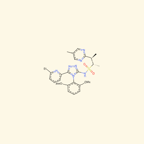 CCc1cccc(-c2nnc(NS(=O)(=O)[C@@H](C)[C@H](C)c3ncc(C)cn3)n2-c2c(OC)cccc2OC)n1